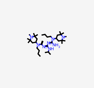 C=C(/N=C(\N=C(/N)N(CCCC)C1CC(C)(C)N(C)C(C)(C)C1)NC(C)C)N(CCCC)C1CC(C)(C)N(C)C(C)(C)C1